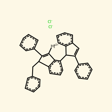 [Cl-].[Cl-].[Hf+2][C]1=C(c2ccccc2)C(Cc2ccccc2)c2cccc(C3C(c4ccccc4)=Cc4ccccc43)c21